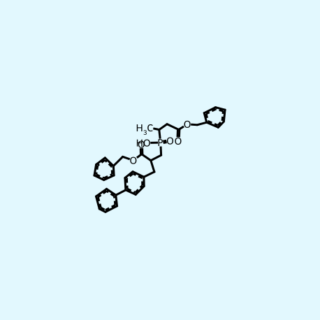 CC(CC(=O)OCc1ccccc1)P(=O)(O)CC(Cc1ccc(-c2ccccc2)cc1)C(=O)OCc1ccccc1